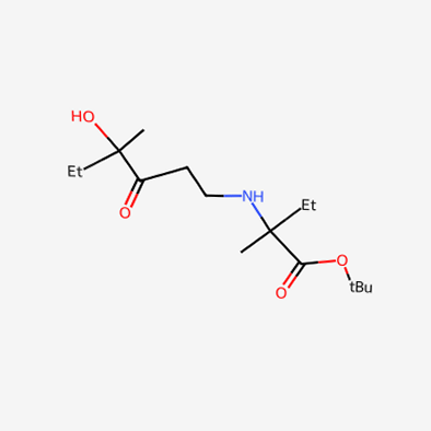 CCC(C)(O)C(=O)CCNC(C)(CC)C(=O)OC(C)(C)C